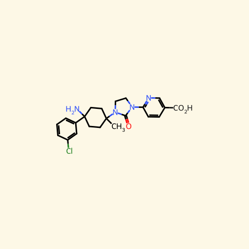 CC1(N2CCN(c3ccc(C(=O)O)cn3)C2=O)CCC(N)(c2cccc(Cl)c2)CC1